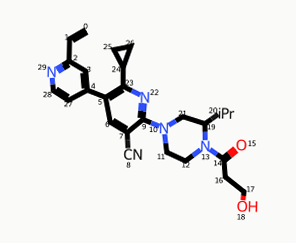 C=Cc1cc(-c2cc(C#N)c(N3CCN(C(=O)CCO)C(C(C)C)C3)nc2C2CC2)ccn1